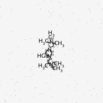 CCN(CC)C(C)CCN1C[CH2][GaH][N](CCC(C)N(CC)CC)CC1